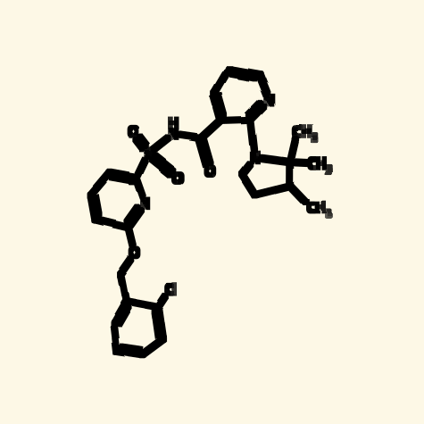 CC1CCN(c2ncccc2C(=O)NS(=O)(=O)c2cccc(OCc3ccccc3Cl)n2)C1(C)C